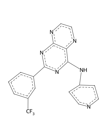 FC(F)(F)c1cccc(-c2nc(Nc3ccncc3)c3nccnc3n2)c1